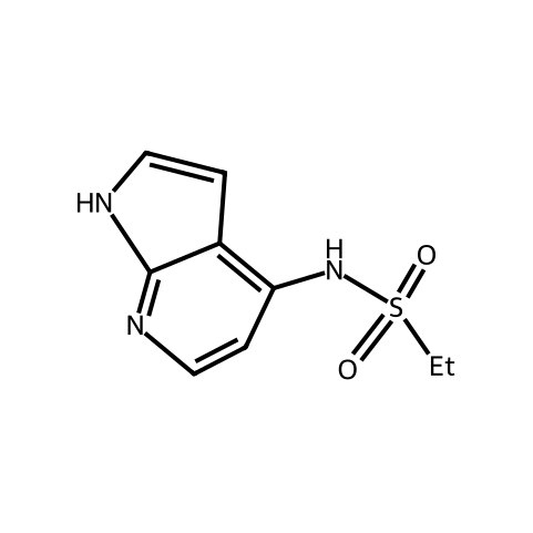 CCS(=O)(=O)Nc1ccnc2[nH]ccc12